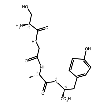 C[C@H](NC(=O)CNC(=O)[C@@H](N)CO)C(=O)N[C@@H](Cc1ccc(O)cc1)C(=O)O